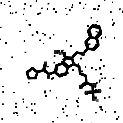 O=C(CCCn1c(COc2ccc3ccccc3c2)c(C(=O)O)c2cc(NC(=O)C3CCCC3)ccc21)NS(=O)(=O)C(F)(F)F